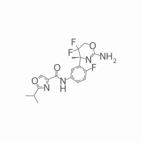 CC(C)c1nc(C(=O)Nc2ccc(F)c([C@@]3(C)N=C(N)OCC3(F)F)c2)co1